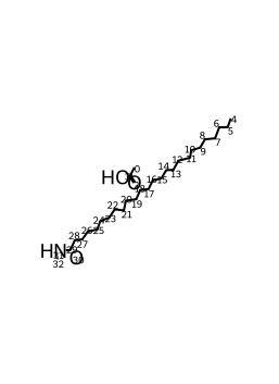 CC(=O)O.CCCCCCCCCCCCCCCCCCCCCCCCCC(=O)NC